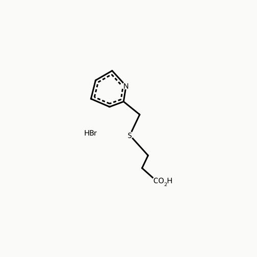 Br.O=C(O)CCSCc1ccccn1